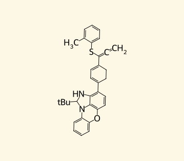 C=C=C(Sc1ccccc1C)C1=CC=C(c2ccc3c4c2NC(C(C)(C)C)N4c2ccccc2O3)CC1